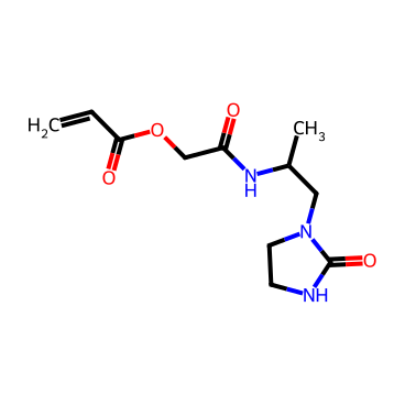 C=CC(=O)OCC(=O)NC(C)CN1CCNC1=O